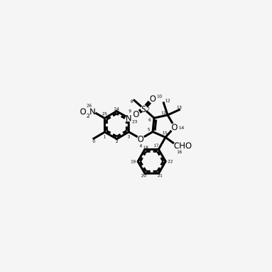 Cc1cc(OC2=C(S(C)(=O)=O)C(C)(C)OC2(C=O)c2ccccc2)ncc1[N+](=O)[O-]